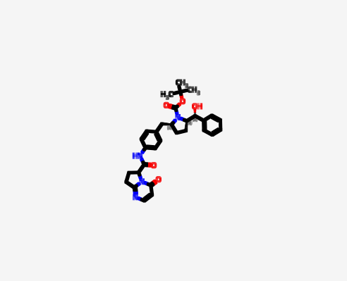 CC(C)(C)OC(=O)N1[C@H](Cc2ccc(NC(=O)C3CCc4nccc(=O)n43)cc2)CC[C@@H]1[C@H](O)c1ccccc1